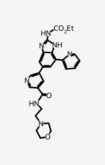 CCOC(=O)Nc1nc2cc(-c3cncc(C(=O)NCCN4CCOCC4)c3)cc(-c3ccccn3)c2[nH]1